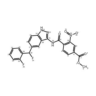 COC(=O)c1ccc(C(=O)Nc2n[nH]c3ccc(C(F)c4ccccc4F)cc23)c([N+](=O)[O-])c1